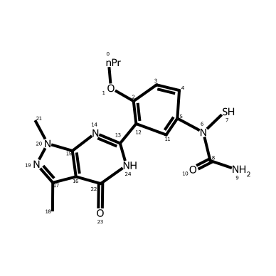 CCCOc1ccc(N(S)C(N)=O)cc1-c1nc2c(c(C)nn2C)c(=O)[nH]1